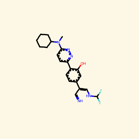 CN(c1ccc(-c2ccc(/C(C=N)=C/NC(F)F)cc2O)nn1)C1CCCCC1